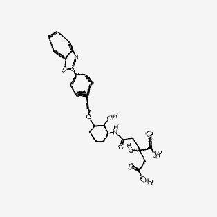 O=C(O)CC(O)(CC(=O)NC1CCCC(OCc2ccc(S3=Nc4ccccc4O3)cc2)C1O)C(=O)O